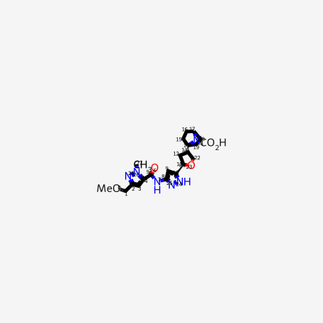 COCc1cc(C(=O)Nc2cc([C@H]3C[C@H](C45CCC(CC4)N5C(=O)O)CO3)[nH]n2)n(C)n1